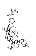 COC(=O)c1ccc([C@@H]2CC[C@]3(C)[C@H]4CC[C@@H]5[C@H]6[C@H](C(C)C)CC[C@]6(N)CC[C@@]5(C)[C@]4(C)CC[C@H]3C2(C)C)cc1